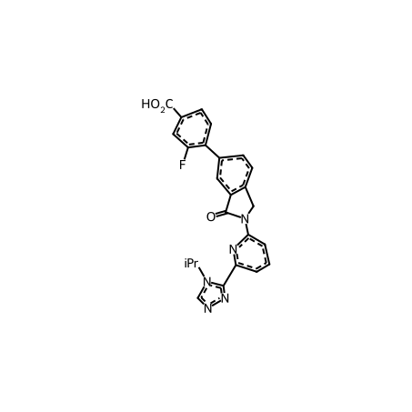 CC(C)n1cnnc1-c1cccc(N2Cc3ccc(-c4ccc(C(=O)O)cc4F)cc3C2=O)n1